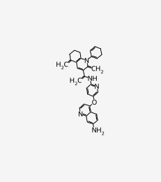 C=C1CCCC2=C1C=C(C(=C)Nc1ccc(Oc3ccnc4cc(N)ccc34)cn1)C(=C)N2C1=CCCC=C1